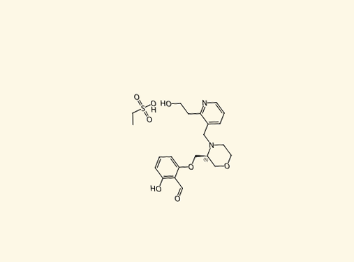 CCS(=O)(=O)O.O=Cc1c(O)cccc1OC[C@@H]1COCCN1Cc1cccnc1CCO